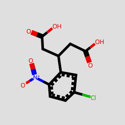 O=C(O)CC(CC(=O)O)c1cc(Cl)ccc1[N+](=O)[O-]